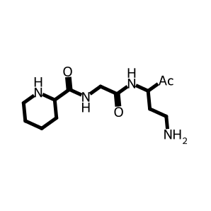 CC(=O)C(CCN)NC(=O)CNC(=O)C1CCCCN1